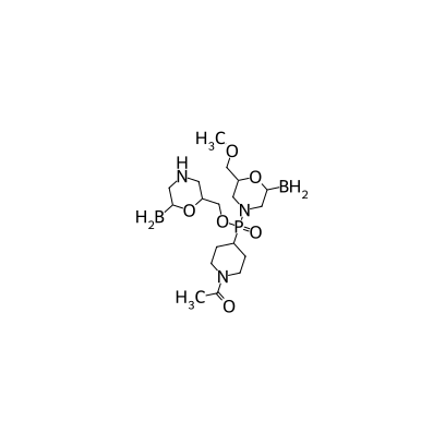 BC1CNCC(COP(=O)(C2CCN(C(C)=O)CC2)N2CC(B)OC(COC)C2)O1